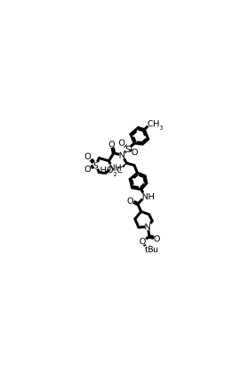 Cc1ccc(S(=O)(=O)N(C(=O)C2CS(=O)(=O)CCN2)[C@@H](Cc2ccc(NC(=O)C3CCN(C(=O)OC(C)(C)C)CC3)cc2)C(=O)O)cc1